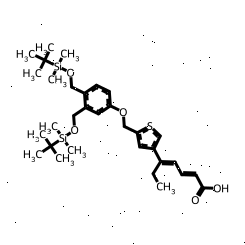 CCC(=CC=CC(=O)O)c1csc(COc2ccc(CO[Si](C)(C)C(C)(C)C)c(CO[Si](C)(C)C(C)(C)C)c2)c1